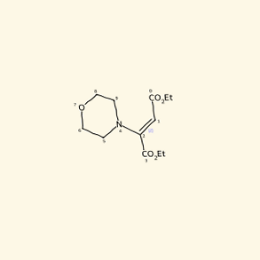 CCOC(=O)/C=C(/C(=O)OCC)N1CCOCC1